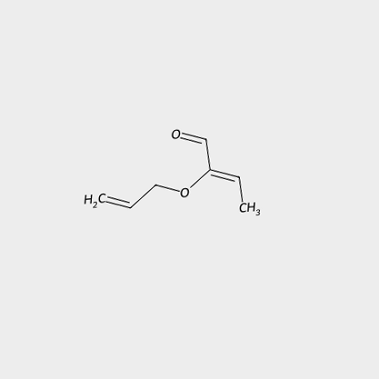 C=CCO/C(C=O)=C\C